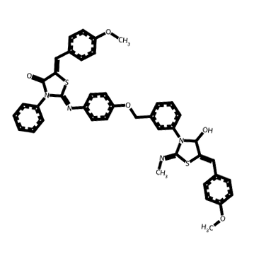 C/N=C1\S/C(=C\c2ccc(OC)cc2)C(O)N1c1cccc(COc2ccc(/N=C3\S/C(=C\c4ccc(OC)cc4)C(=O)N3c3ccccc3)cc2)c1